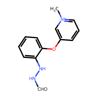 C[n+]1cccc(Oc2ccccc2NNC=O)c1